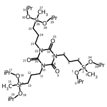 CC(C)O[Si](C)(CCCn1c(=O)n(CCC[Si](C)(OC(C)C)OC(C)C)c(=O)n(CCC[Si](C)(OC(C)C)OC(C)C)c1=O)OC(C)C